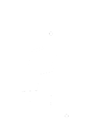 CCOc1ccc(C2(CC=O)CC2)cc1